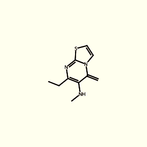 C=C1C(NC)=C(CC)N=C2SC=CN12